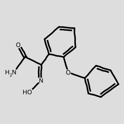 NC(=O)/C(=N\O)c1ccccc1Oc1ccccc1